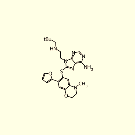 CN1CCOc2cc(-c3ccco3)c(Sc3nc4c(N)ncnc4n3CCNCC(C)(C)C)cc21